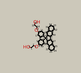 OCCOc1ccc(C2(c3ccc(OCCO)cc3)c3cc4ccccc4cc3-c3cc4ccccc4cc32)cc1